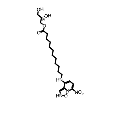 O=C(CCCCCCCCCCCNC1=CC=C([N+](=O)[O-])N2ONC=C12)OC[C@@H](O)CO